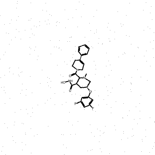 CN1C[C@@H](Oc2cc(F)cc(F)c2)CC(C(=O)NO)C1C(=O)N1CC=C(c2ccccc2)CC1